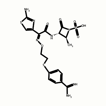 C[C@H]1[C@H](NC(=O)C(=NOCCSc2ccc(C(=N)N)cc2)c2csc(N)n2)C(=O)N1S(=O)(=O)O